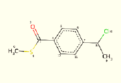 CSC(=O)c1ccc(C(C)Cl)cc1